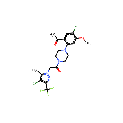 COc1cc(N2CCN(C(=O)Cn3nc(C(F)(F)F)c(Cl)c3C)CC2)c(C(C)=O)cc1Cl